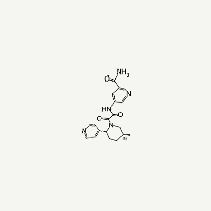 C[C@H]1CCC(c2ccncc2)N(C(=O)C(=O)Nc2cncc(C(N)=O)c2)C1